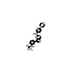 CC(=O)Nc1cccc(-c2csc3cnc(Nc4ccc(N5CCOCC5)nc4)nc23)c1